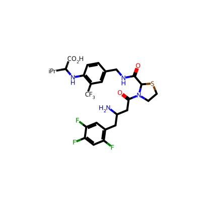 CC(C)C(Nc1ccc(CNC(=O)C2SCCN2C(=O)CC(N)Cc2cc(F)c(F)cc2F)cc1C(F)(F)F)C(=O)O